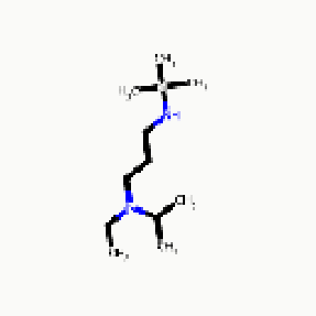 CCN(CCCN[Si](C)(C)C)C(C)C